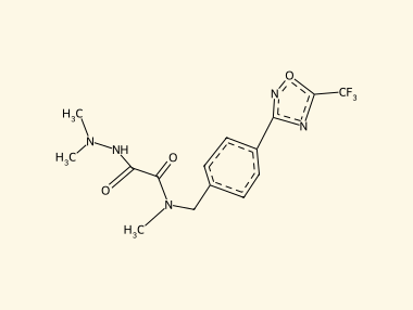 CN(C)NC(=O)C(=O)N(C)Cc1ccc(-c2noc(C(F)(F)F)n2)cc1